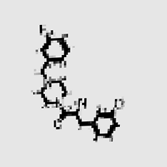 NC(Cc1cccc(Cl)c1)C(=O)N1CCN(Cc2cccc(F)c2)CC1